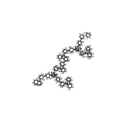 c1ccc(-c2cccc(-c3ccc(-c4nc(-c5ccc(-c6cccc(-n7c8ccccc8c8c(-c9ccc%10c(c9)c9ccccc9n%10-c9cccc(-c%10nc(-c%11ccc(-c%12cccc(-c%13cccc%14ccccc%13%14)c%12)cc%11)nc(-c%11ccc(-c%12cccc(-n%13c%14ccccc%14c%14ccccc%14%13)c%12)cc%11)n%10)c9)cccc87)c6)cc5)nc(-c5cccc(-n6c7ccccc7c7ccccc76)c5)n4)cc3)c2)cc1